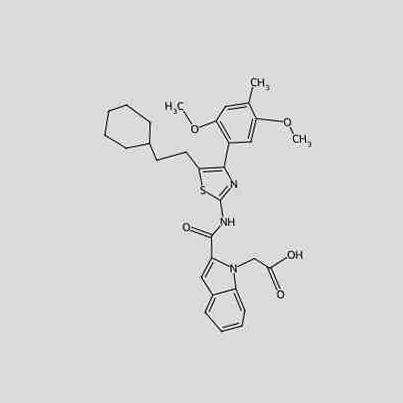 COc1cc(-c2nc(NC(=O)c3cc4ccccc4n3CC(=O)O)sc2CCC2CCCCC2)c(OC)cc1C